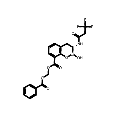 O=C(CC(F)(F)F)N[C@H]1Cc2cccc(C(=O)OCOC(=O)c3ccccc3)c2OB1O